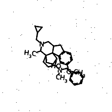 COc1ccc2c(c1O)C13C(C2)CN(CC2CC2)C(C)C12CCC(N(C)Cc1ccccc1)C3CC2